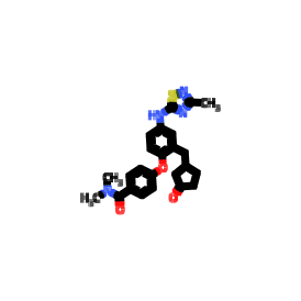 Cc1nsc(Nc2ccc(Oc3ccc(C(=O)N(C)C)cc3)c(CC3CCC(=O)C3)c2)n1